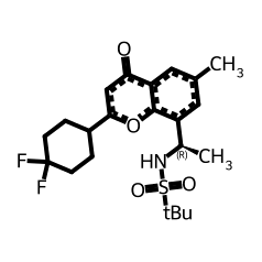 Cc1cc([C@@H](C)NS(=O)(=O)C(C)(C)C)c2oc(C3CCC(F)(F)CC3)cc(=O)c2c1